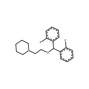 Fc1ccccc1C(OCCN1CCCCC1)c1ccccc1F